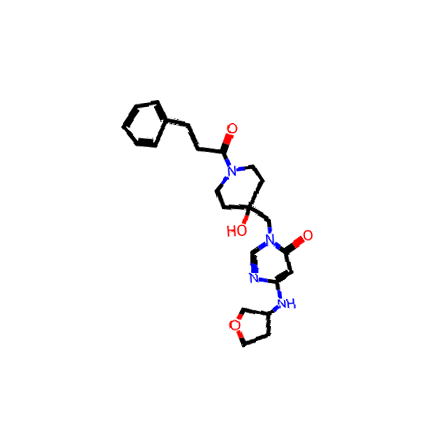 O=C(CCc1ccccc1)N1CCC(O)(Cn2cnc(NC3CCOC3)cc2=O)CC1